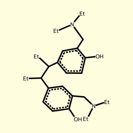 CCC(c1ccc(O)c(CN(CC)CC)c1)C(CC)c1ccc(O)c(CN(CC)CC)c1